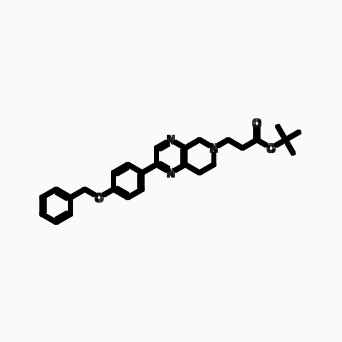 CC(C)(C)OC(=O)CCN1CCc2nc(-c3ccc(OCc4ccccc4)cc3)cnc2C1